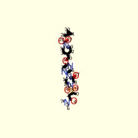 CC(CC(=O)N(C)C)S(=O)(=O)N1CCN(c2cnc(OCC3CCN(C(=O)OC4(C)CC4)CC3)cn2)C(=O)C1